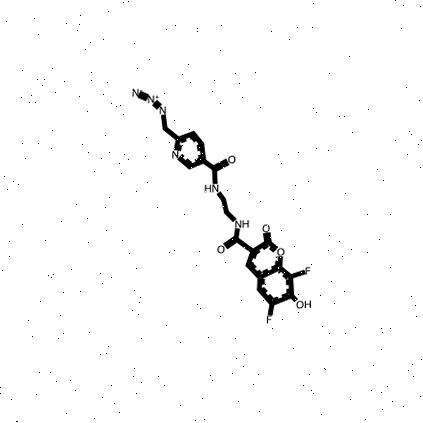 [N-]=[N+]=NCc1ccc(C(=O)NCCNC(=O)c2cc3cc(F)c(O)c(F)c3oc2=O)cn1